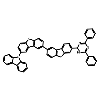 c1ccc(C2=NC(c3ccc4c(c3)oc3ccc(-c5ccc6sc7ccc(-n8c9ccccc9c9ccccc98)cc7c6c5)cc34)NC(c3ccccc3)=N2)cc1